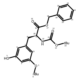 CCCCOc1cc(O)cc(C[C@H](NC(=O)OC(C)(C)C)C(=O)OCc2ccccc2)c1